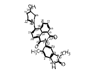 Cc1cc2[nH]c(=O)n(C)c2cc1N1C(=O)c2cccc3c(N4CCC(O)C4)ccc(c23)C1=O